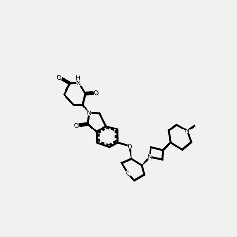 CN1CCC(C2CN([C@H]3CCCC[C@H]3Oc3ccc4c(c3)CN(C3CCC(=O)NC3=O)C4=O)C2)CC1